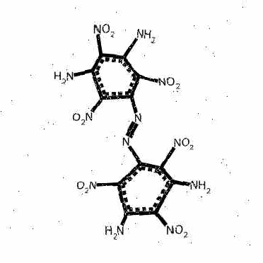 Nc1c([N+](=O)[O-])c(N)c([N+](=O)[O-])c(N=Nc2c([N+](=O)[O-])c(N)c([N+](=O)[O-])c(N)c2[N+](=O)[O-])c1[N+](=O)[O-]